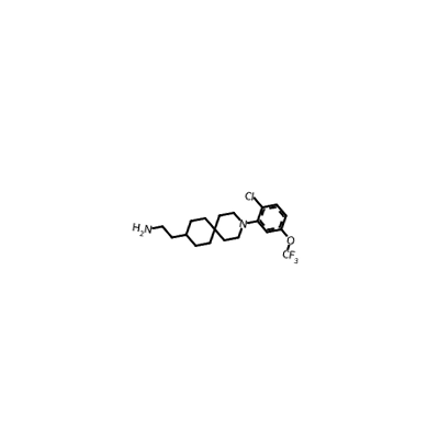 NCCC1CCC2(CC1)CCN(c1cc(OC(F)(F)F)ccc1Cl)CC2